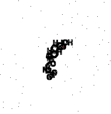 COC[C@]12CC[C@@](C)(O)C[C@H]1CC[C@H]1[C@@H]3CC[C@H](C(=O)Cn4cc(S(C)(=O)=O)cn4)[C@@]3(C)CC[C@@H]12